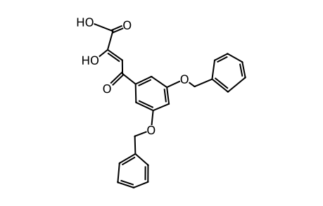 O=C(O)C(O)=CC(=O)c1cc(OCc2ccccc2)cc(OCc2ccccc2)c1